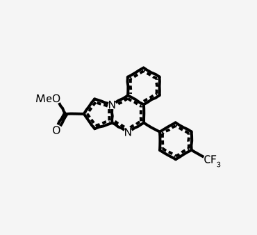 COC(=O)c1cc2nc(-c3ccc(C(F)(F)F)cc3)c3ccccc3n2c1